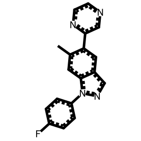 Cc1cc2c(cnn2-c2ccc(F)cc2)cc1-c1cnccn1